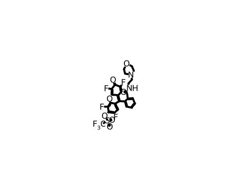 O=C(NCCN1CCOCC1)c1ccccc1-c1c2cc(F)c(=O)c(F)c-2oc2c(F)c(OS(=O)(=O)C(F)(F)F)c(F)cc12